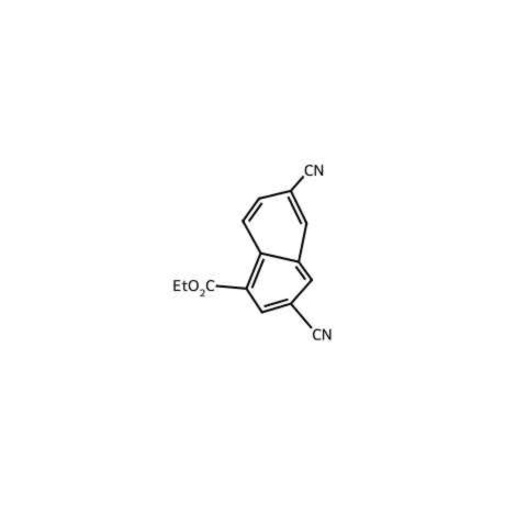 CCOC(=O)c1cc(C#N)cc2cc(C#N)ccc12